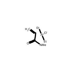 C=CC(=O)NC.C[CH2][Al+][CH2]C.[Cl-]